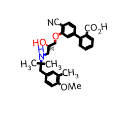 COc1ccc(CC(C)(C)NC[C@@H](O)COc2cc(-c3ccccc3C(=O)O)ccc2C#N)cc1C